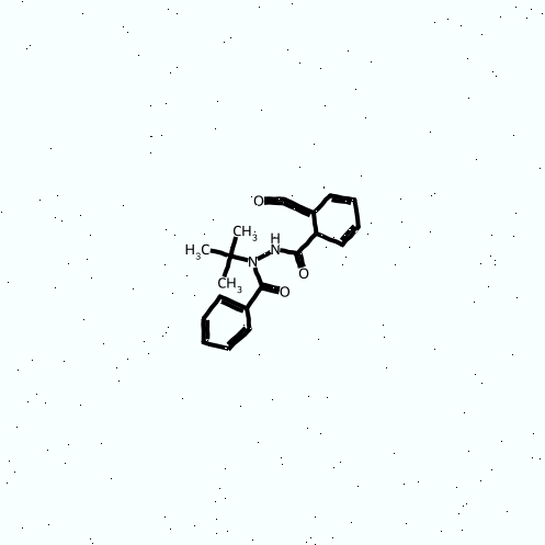 CC(C)(C)N(NC(=O)C1C=CC=CC1=C=O)C(=O)c1ccccc1